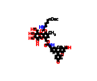 CCCCCCCCCCCCCCNC(=O)OCc1cc(C)cc(COC(=O)NCc2ccc(-c3c4ccc(=O)cc-4oc4cc(O)ccc34)c(C(=O)O)c2)c1O[C@@H]1OC(CO)[C@H](O)[C@H](O)C1O